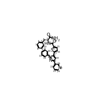 NC(=O)[C@H](Cc1ccccc1)NC(=O)c1ccc(-c2cc(-c3cccnc3)nn2-c2ccccc2)s1